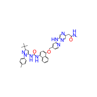 CNC(=O)Cc1cnc(Nc2cc(COc3ccc(NC(=O)Nc4cc(C(C)(C)C)nn4-c4ccc(C)cc4)c4ccccc34)ccn2)cn1